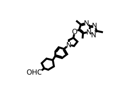 Cc1nc2nc(C)c(OC3CCN(c4ccc(C5CCC(C=O)CC5)cc4)C3)c(C)n2n1